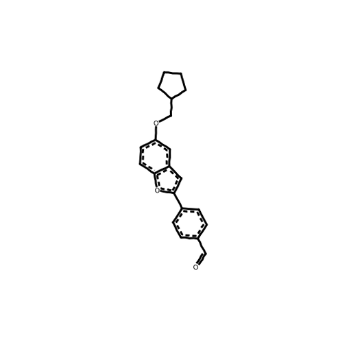 O=Cc1ccc(-c2cc3cc(OCC4CCCC4)ccc3o2)cc1